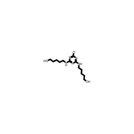 OCCCCCNc1nc(Cl)nc(NCCCCCO)n1